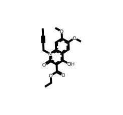 CC#CCn1c(=O)c(C(=O)OCC)c(O)c2cc(OC)c(OC)cc21